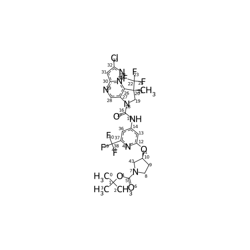 CC(C)(C)OC(=O)N1CC[C@H](Oc2cc(NC(=O)N3C[C@@](C)(C(F)(F)F)c4c3cnc3cc(Cl)nn43)cc(C(F)(F)F)n2)C1